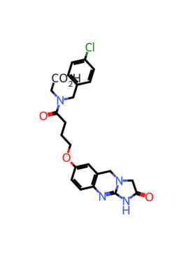 O=C(O)CN(Cc1ccc(Cl)cc1)C(=O)CCCOc1ccc2c(c1)CN1CC(=O)NC1=N2